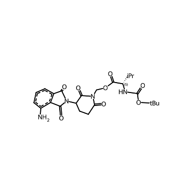 CC(C)[C@H](NC(=O)OC(C)(C)C)C(=O)OCN1C(=O)CCC(N2C(=O)c3cccc(N)c3C2=O)C1=O